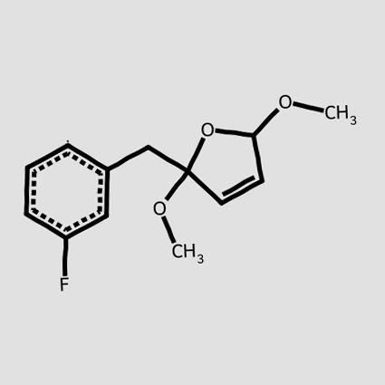 COC1C=CC(Cc2[c]ccc(F)c2)(OC)O1